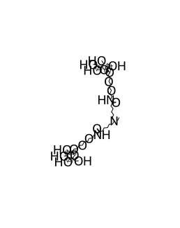 CCN(CCCCCC(=O)NCCOCCOCCO[C@H]1OC(CO)[C@@H](O)C(O)[C@H]1O)CCCCCC(=O)NCCOCCOCCO[C@@H](OC(CO)[C@@H](O)CO)[C@@H](C)O